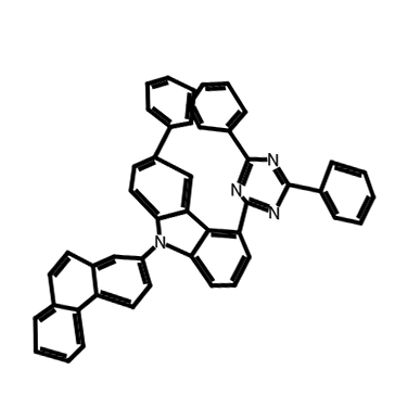 c1ccc(-c2ccc3c(c2)c2c(-c4nc(-c5ccccc5)nc(-c5ccccc5)n4)cccc2n3-c2ccc3c(ccc4ccccc43)c2)cc1